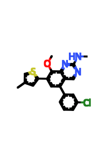 CNc1ncc2c(-c3cccc(Cl)c3)cc(-c3cc(C)cs3)c(OC)c2n1